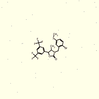 CSc1ccc(Br)c(CN2C(=O)OC(c3cc(C(F)(F)F)cc(C(F)(F)F)c3)C2C)c1